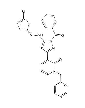 O=C(c1ccccc1)n1nc(-c2cccn(Cc3ccncc3)c2=O)cc1NCc1ccc(Cl)s1